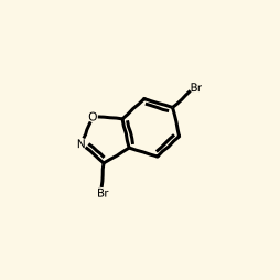 Brc1ccc2c(Br)noc2c1